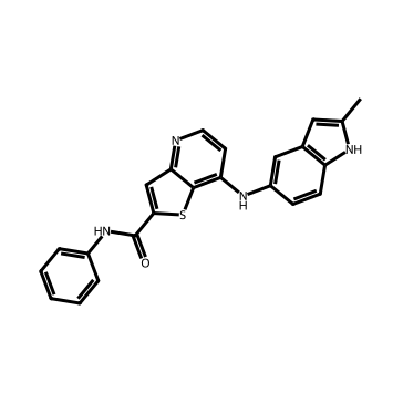 Cc1cc2cc(Nc3ccnc4cc(C(=O)Nc5ccccc5)sc34)ccc2[nH]1